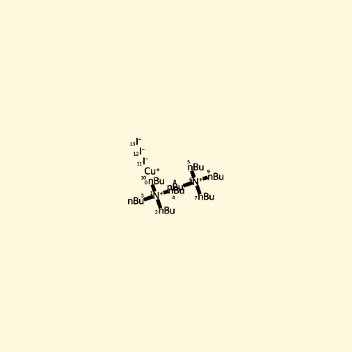 CCCC[N+](CCCC)(CCCC)CCCC.CCCC[N+](CCCC)(CCCC)CCCC.[Cu+].[I-].[I-].[I-]